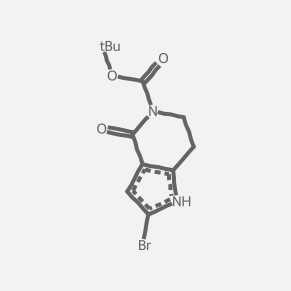 CC(C)(C)OC(=O)N1CCc2[nH]c(Br)cc2C1=O